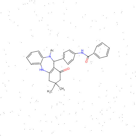 CC(=O)N1c2ccccc2NC2=C(C(=O)CC(C)(C)C2)C1c1ccc(NC(=O)c2ccccc2)cc1